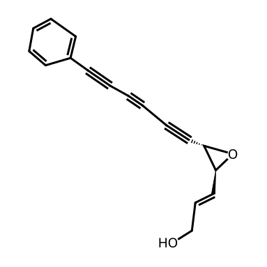 OCC=C[C@@H]1O[C@H]1C#CC#CC#Cc1ccccc1